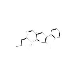 CC/C=C1/N=Cc2cc(-c3ccccc3)c(Cl)nc2N1N